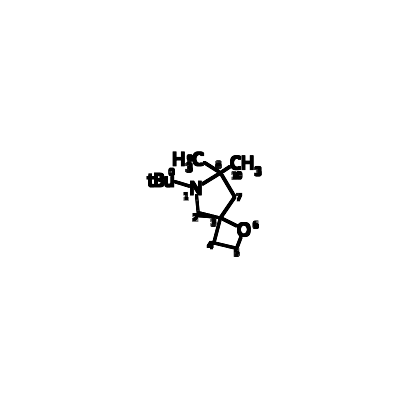 CC(C)(C)N1C[C@@]2(CCO2)CC1(C)C